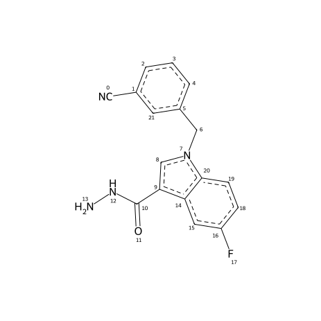 N#Cc1cccc(Cn2cc(C(=O)NN)c3cc(F)ccc32)c1